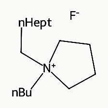 CCCCCCCC[N+]1(CCCC)CCCC1.[F-]